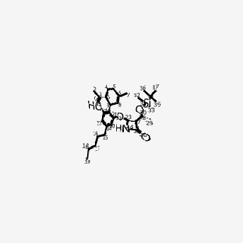 C=C(C)[C@@H]1CCC(C)=C[C@H]1c1c(O)cc(CCCCC)cc1OC1NC(=O)[C@@H]1[C@@H](C)O[Si](C)(C)C(C)(C)C